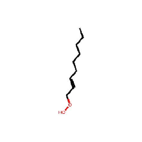 CCCCCCC=CCOO